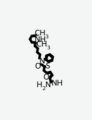 C[C@H]1CCC[C@@](C)(CCCCCN2C(=O)C(Cc3ccc(C(=N)N)o3)Sc3ccccc32)N1